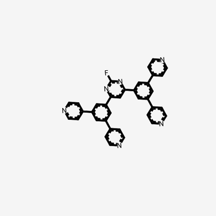 Fc1nc(-c2cc(-c3ccncc3)cc(-c3ccncc3)c2)cc(-c2cc(-c3ccncc3)cc(-c3ccncc3)c2)n1